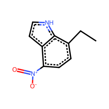 CCc1ccc([N+](=O)[O-])c2cc[nH]c12